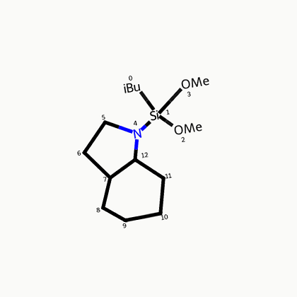 CCC(C)[Si](OC)(OC)N1CCC2CCCCC21